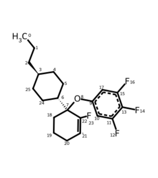 CCC[C@H]1CC[C@H](C2(Oc3cc(F)c(F)c(F)c3)CCC[C]=C2F)CC1